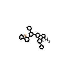 CC12C=CC=CC1c1ccc(-c3cc(-c4ccccc4)cc(-c4cccc5c4sc4ccccc45)c3)cc1-c1ccc(-c3ccccc3)cc12